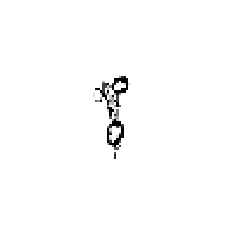 CN1C(=O)C2CN(c3ccc(F)cc3)CN2c2ccccc21